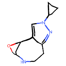 c1c2c(nn1C1CC1)CCNC1OC21